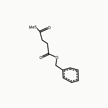 CSC(=O)CCC(=O)OCc1ccccc1